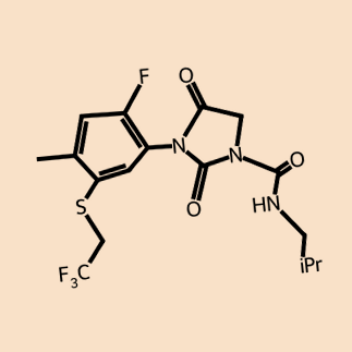 Cc1cc(F)c(N2C(=O)CN(C(=O)NCC(C)C)C2=O)cc1SCC(F)(F)F